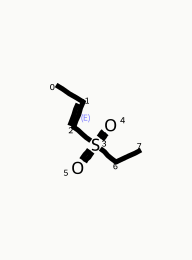 C/C=C/S(=O)(=O)CC